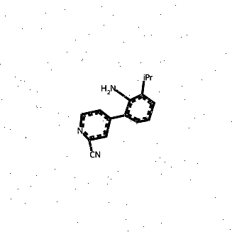 CC(C)c1cccc(-c2ccnc(C#N)c2)c1N